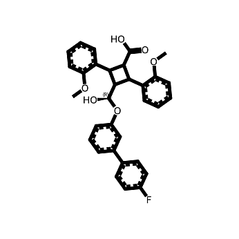 COc1ccccc1C1C(C(=O)O)C(c2ccccc2OC)C1[C@H](O)Oc1cccc(-c2ccc(F)cc2)c1